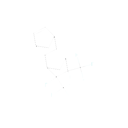 FC(F)(F)C1(F)C2CC(C3C4C=CC(C4)C32)C1(F)C(F)(F)F